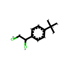 CC(C)(C)c1ccc(C(Cl)CCl)cc1